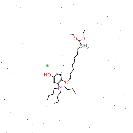 CCCC[P+](CCCC)(CCCC)c1cc(O)ccc1OCCCCCCCC[SiH2]C(OCC)OCC.[Br-]